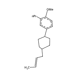 CC=CCC1CCC(c2ccc(OC)c(CCC)c2)CC1